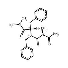 CN(C)C(=O)[C@](N)(Cc1ccccc1)[C@H](Cc1ccccc1)C(=O)N(C)C(N)=O